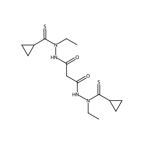 CCN(NC(=O)CC(=O)NN(CC)C(=S)C1CC1)C(=S)C1CC1